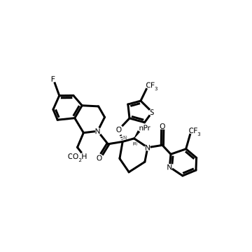 CCC[C@H]1N(C(=O)c2ncccc2C(F)(F)F)CCC[C@@]1(Oc1csc(C(F)(F)F)c1)C(=O)N1CCc2cc(F)ccc2C1CC(=O)O